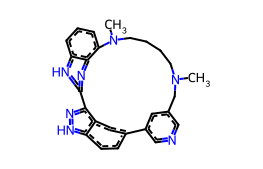 CN1CCCCN(C)c2cccc3[nH]c(nc23)-c2n[nH]c3ccc(cc23)-c2cncc(c2)C1